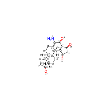 C[C@@]12C(=C(N)C(=O)C3=C1C(=O)CC3=O)CC[C@@H]1[C@@H]2CC[C@]2(C)C(=O)CC[C@@H]12